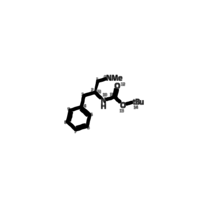 CNC[C@H](Cc1ccccc1)NC(=O)OC(C)(C)C